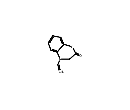 C=CN1CC(=O)Oc2ccccc21